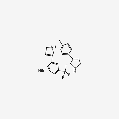 Br.Cc1ccc(C2=CCNC2)cc1.FC(F)(F)c1cccc(C2=CCNC2)c1